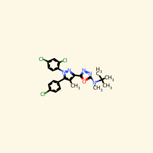 Cc1c(-c2nnc(N(C)C(C)(C)C)o2)nn(-c2ccc(Cl)cc2Cl)c1-c1ccc(Cl)cc1